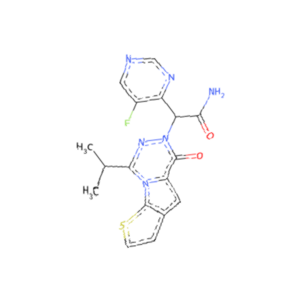 CC(C)c1nn(C(C(N)=O)c2ncncc2F)c(=O)c2cc3ccsc3n12